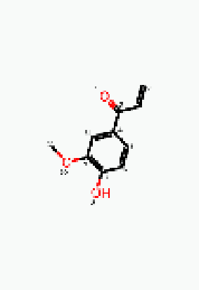 C=CC(=O)c1ccc(O)c(OC)c1